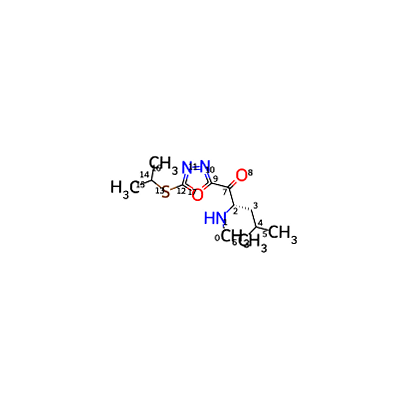 CN[C@@H](CC(C)C)C(=O)c1nnc(SC(C)C)o1